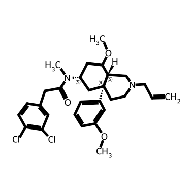 C=CCN1CC[C@@]2(c3cccc(OC)c3)C[C@H](N(C)C(=O)Cc3ccc(Cl)c(Cl)c3)CC(OC)[C@@H]2C1